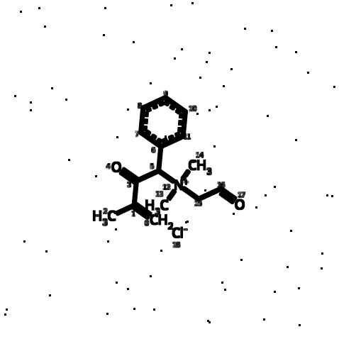 C=C(C)C(=O)C(c1ccccc1)[N+](C)(C)CC=O.[Cl-]